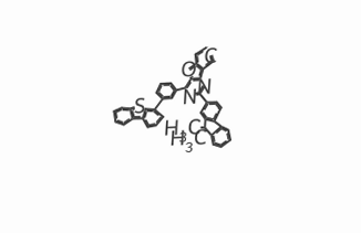 CC1(C)c2ccccc2-c2ccc(-c3nc(-c4cccc(-c5cccc6c5sc5ccccc56)c4)c4oc5ccccc5c4n3)cc21